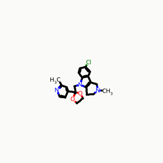 Cc1cc(C2(Cn3c4c(c5cc(Cl)ccc53)CN(C)CC4)OCCO2)ccn1